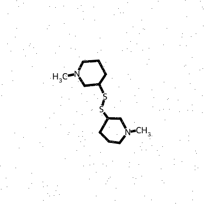 CN1CCCC(SSC2CCCN(C)C2)C1